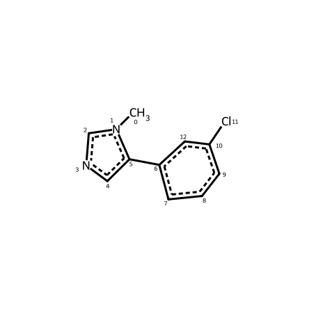 Cn1cncc1-c1cccc(Cl)c1